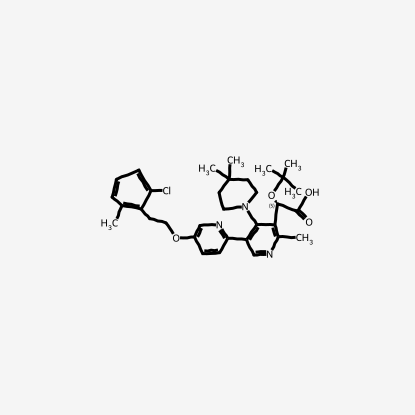 Cc1cccc(Cl)c1CCOc1ccc(-c2cnc(C)c([C@H](OC(C)(C)C)C(=O)O)c2N2CCC(C)(C)CC2)nc1